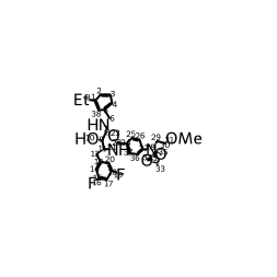 CCc1cccc(CNC[C@H](O)[C@H](Cc2cc(F)cc(F)c2)NC(=O)c2ccc(N(CCOC)S(C)(=O)=O)cc2)c1